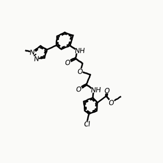 COC(=O)c1cc(Cl)ccc1NC(=O)COCC(=O)Nc1cccc(-c2cnn(C)c2)c1